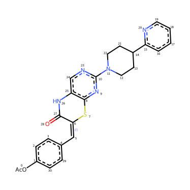 CC(=O)Oc1ccc(/C=C2/Sc3nc(N4CCC(c5ccccn5)CC4)ncc3NC2=O)cc1